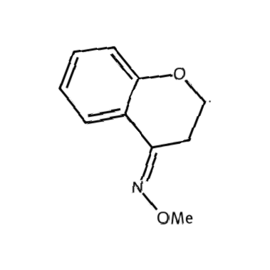 CON=C1C[CH]Oc2ccccc21